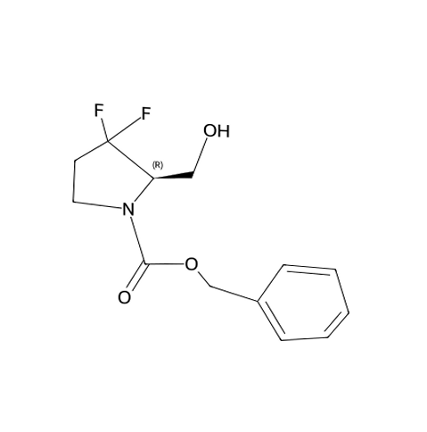 O=C(OCc1ccccc1)N1CCC(F)(F)[C@H]1CO